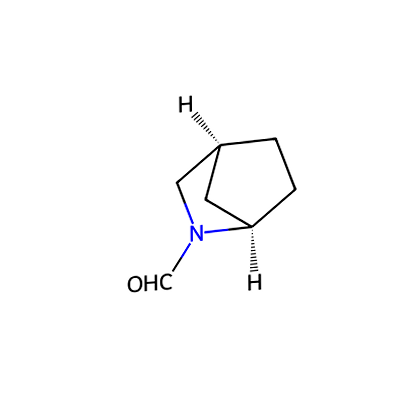 O=CN1C[C@H]2CC[C@@H]1C2